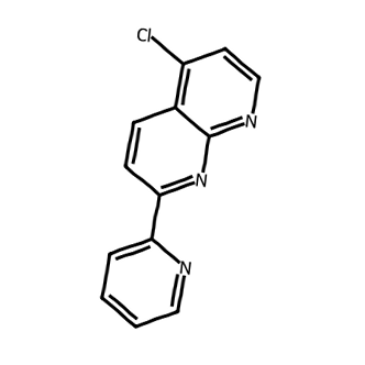 Clc1ccnc2nc(-c3ccccn3)ccc12